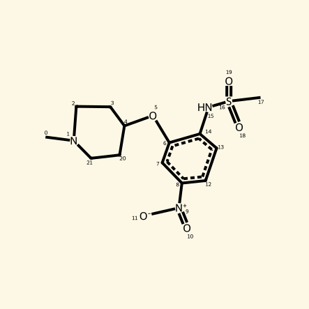 CN1CCC(Oc2cc([N+](=O)[O-])ccc2NS(C)(=O)=O)CC1